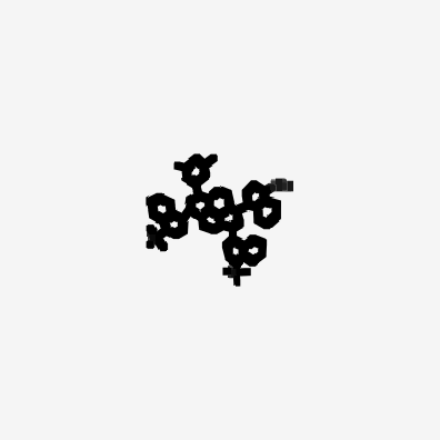 Cc1cc(C)cc(-c2cc(-c3ccc([Si](C)(C)C)c4ccccc34)c3ccc4c(-c5ccc([Si](C)(C)C)c6ccccc56)cc(-c5ccc(C(C)(C)C)c6ccccc56)c5ccc2c3c54)c1